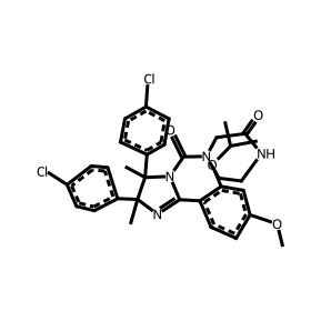 COc1ccc(C2=NC(C)(c3ccc(Cl)cc3)C(C)(c3ccc(Cl)cc3)N2C(=O)N2CCNC(=O)C2)c(OC(C)C)c1